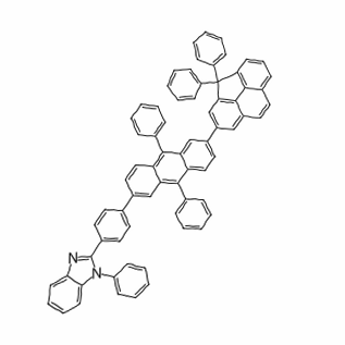 c1ccc(-c2c3ccc(-c4cc5c6c(ccc7cccc(c76)C5(c5ccccc5)c5ccccc5)c4)cc3c(-c3ccccc3)c3ccc(-c4ccc(-c5nc6ccccc6n5-c5ccccc5)cc4)cc23)cc1